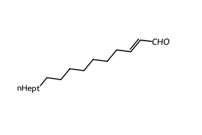 CCCCCCCCCCCCCCC=CC=O